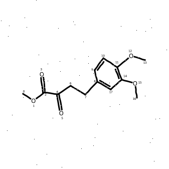 COC(=O)C(=O)CCc1ccc(OC)c(OC)c1